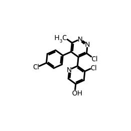 Cc1nnc(Cl)c(-c2ncc(O)cc2Cl)c1-c1ccc(Cl)cc1